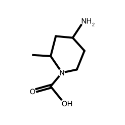 CC1CC(N)CCN1C(=O)O